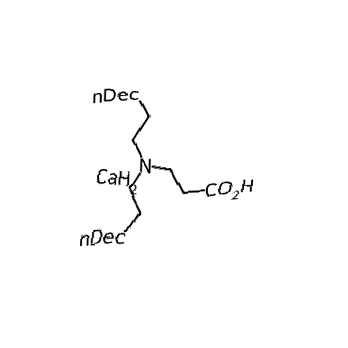 CCCCCCCCCCCCN(CCCCCCCCCCCC)CCC(=O)O.[CaH2]